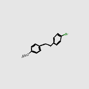 COc1ccc(C[CH]c2ccc(Br)cc2)cc1